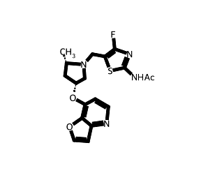 CC(=O)Nc1nc(F)c(CN2C[C@H](Oc3ccnc4ccoc34)C[C@@H]2C)s1